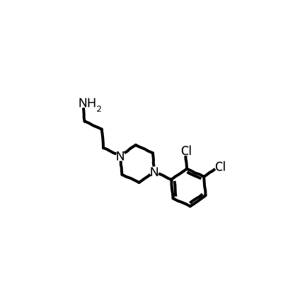 NCCCN1CCN(c2cccc(Cl)c2Cl)CC1